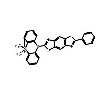 C[SH]12(C)c3ccccc3N(c3nc4cc5oc(-c6ccccc6)nc5cc4o3)c3cccc1c32